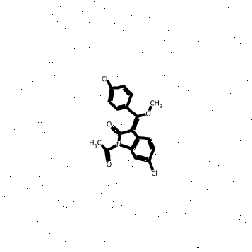 CO/C(=C1/C(=O)N(C(C)=O)c2cc(Cl)ccc21)c1ccc(Cl)cc1